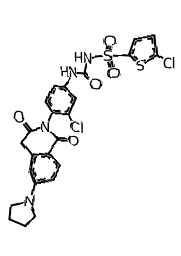 O=C(Nc1ccc(N2C(=O)Cc3cc(N4CCCC4)ccc3C2=O)c(Cl)c1)NS(=O)(=O)c1ccc(Cl)s1